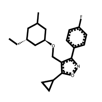 CC[C@@H]1CC(C)C[C@@H](OCc2c(-c3ccc(F)cc3)noc2C2CC2)C1